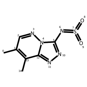 Cc1cnn2c(N=S(=O)=O)nnc2c1C